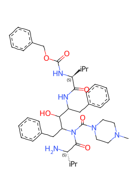 CC(C)[C@H](N)C(=O)N(C(=O)N1CCN(C)CC1)C(Cc1ccccc1)C(O)C(Cc1ccccc1)NC(=O)[C@@H](NC(=O)OCc1ccccc1)C(C)C